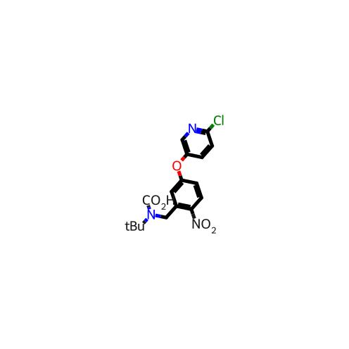 CC(C)(C)N(Cc1cc(Oc2ccc(Cl)nc2)ccc1[N+](=O)[O-])C(=O)O